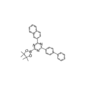 CC1(C)OB(c2nc(-c3ccc(-c4ccccc4)cc3)nc(-c3ccc4ccccc4c3)n2)OC1(C)C